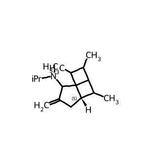 C=C1C[C@H]2C(C)C3C(C)C(C)C32C1N(C)C(C)C